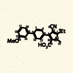 CCc1c(C#N)c(-c2ccc(-c3cccc(OC)c3)cc2)c(C(=O)O)n1C